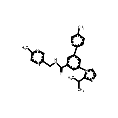 Cc1ccc(-c2cc(C(=O)NCc3cnc(C)cn3)cc(-n3ccnc3C(C)C)c2)nc1